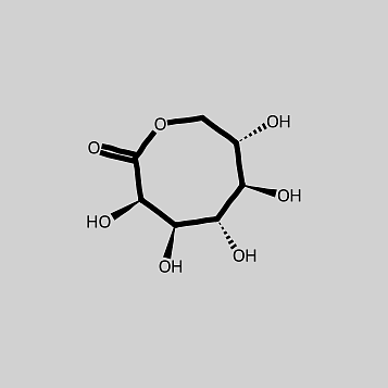 O=C1OC[C@H](O)[C@@H](O)[C@H](O)[C@@H](O)[C@H]1O